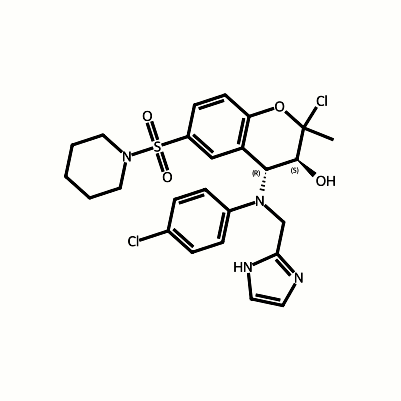 CC1(Cl)Oc2ccc(S(=O)(=O)N3CCCCC3)cc2[C@@H](N(Cc2ncc[nH]2)c2ccc(Cl)cc2)[C@@H]1O